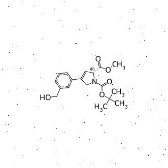 COC(=O)[C@H]1C=C(c2cccc(CO)c2)CN1C(=O)OC(C)(C)C